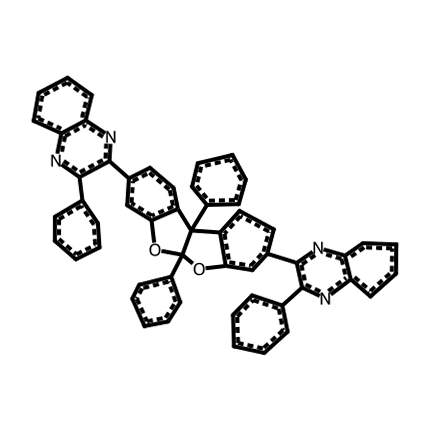 c1ccc(-c2nc3ccccc3nc2-c2ccc3c(c2)OC2(c4ccccc4)Oc4cc(-c5nc6ccccc6nc5-c5ccccc5)ccc4C32c2ccccc2)cc1